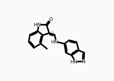 Cc1cccc2c1/C(=C\Nc1ccc3cn[nH]c3c1)C(=O)N2